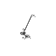 CCCCCCCCCCCCCCCC(=O)COP(=O)(OCC[N+](C)(C)C)C1CCCN1